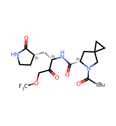 CC(C)(C)C(=O)N1CC2(CC2)C[C@H]1C(=O)N[C@@H](C[C@@H]1CCNC1=O)C(=O)COC(F)(F)F